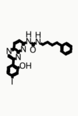 O=C(NCCCCc1ccccc1)Nc1ccc2ncc(-c3ccc(I)cc3O)nc2n1